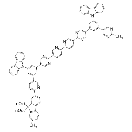 CCCCCCCCC1(CCCCCCCC)c2cc(C)ccc2-c2ccc(-c3ncc(-c4cc(-c5cnc(-c6ccc(-c7ccc(-c8ncc(-c9cc(-c%10cnc(C)nc%10)cc(-n%10c%11ccccc%11c%11ccccc%11%10)c9)cn8)cn7)nc6)nc5)cc(-n5c6ccccc6c6ccccc65)c4)cn3)cc21